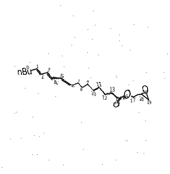 CCCCC=CC=CC=CCCCCCCCC(=O)OCC1CO1